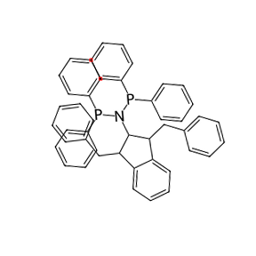 c1ccc(CC2c3ccccc3C(Cc3ccccc3)C2N(P(c2ccccc2)c2ccccc2)P(c2ccccc2)c2ccccc2)cc1